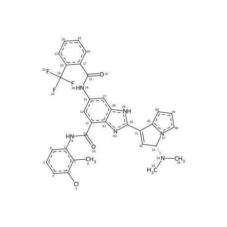 Cc1c(Cl)cccc1NC(=O)c1cc(NC(=O)c2ccccc2C(F)(F)F)cc2[nH]c(C3=C[C@@H](N(C)C)n4cccc43)nc12